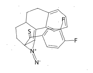 [N-]=[N+]1C2=C3c4ccccc4CCC3CCC21C(=S)c1ccc(F)c(F)c1